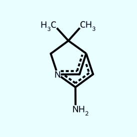 CC1(C)Cn2cc1cc2N